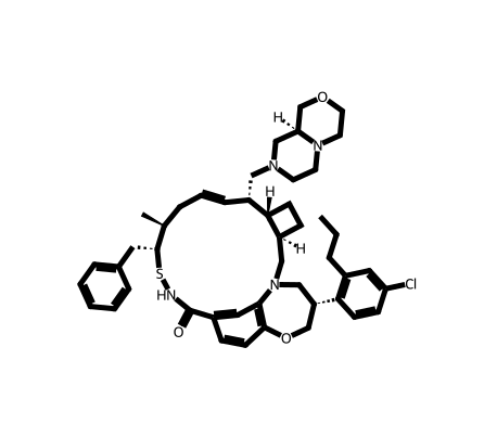 CCCc1cc(Cl)ccc1[C@@H]1COc2ccc3cc2N(C1)C[C@@H]1CC[C@H]1[C@@H](CN1CCN2CCOC[C@@H]2C1)/C=C/C[C@H](C)[C@@H](Cc1ccccc1)SNC3=O